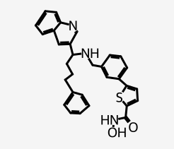 O=C(NO)c1ccc(-c2cccc(CNC(CCCc3ccccc3)c3cnc4ccccc4c3)c2)s1